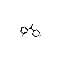 O=C(c1cccc(F)c1)C1CCNCC1